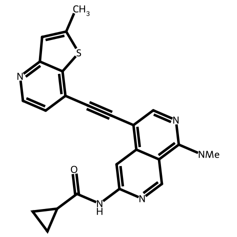 CNc1ncc(C#Cc2ccnc3cc(C)sc23)c2cc(NC(=O)C3CC3)ncc12